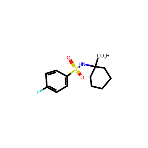 O=C(O)C1(NS(=O)(=O)c2ccc(F)cc2)CCCCC1